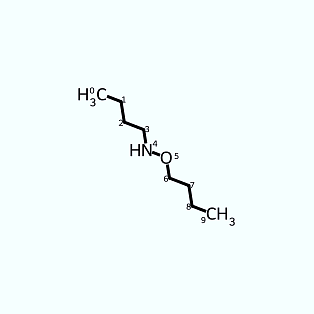 CCCCNOCCCC